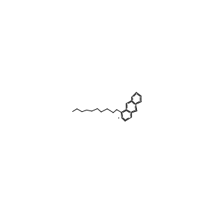 CCCCCCCCCCc1[c]ccc2cc3ccccc3cc12